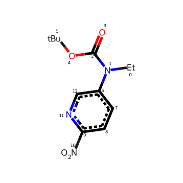 CCN(C(=O)OC(C)(C)C)c1ccc([N+](=O)[O-])nc1